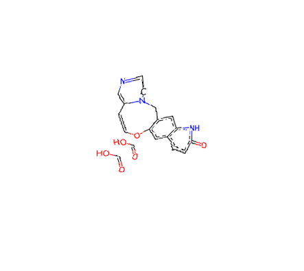 O=CO.O=CO.O=c1ccc2cc3c(cc2[nH]1)CN1CC=NC=C1C=CO3